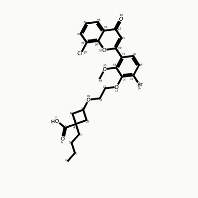 CCCCC1(C(=O)O)CC(OCCOc2c(Br)ccc(-c3cc(=O)c4cccc(Cl)c4o3)c2OC)C1